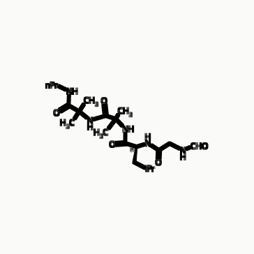 CCCNC(=O)C(C)(C)NC(=O)C(C)(C)NC(=O)[C@H](CC(C)C)NC(=O)CNC=O